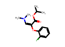 CC(C)OC(=O)C(=CN(C)C)Oc1ccccc1F